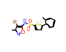 Cc1ccccc1-c1ccc(S(=O)(=O)Nc2onc(C)c2Br)s1